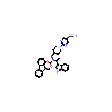 CC(c1c[nH]c2ccccc12)N(CC1CCN(c2ncc(C(=O)O)cn2)CC1)C(=O)OCC1c2ccccc2-c2ccccc21